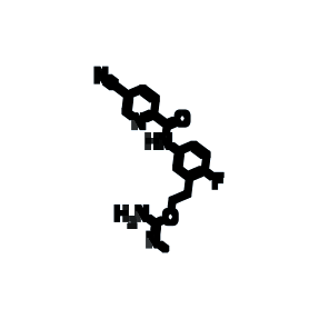 C/N=C(/N)OCCc1cc(NC(=O)c2ccc(C#N)cn2)ccc1F